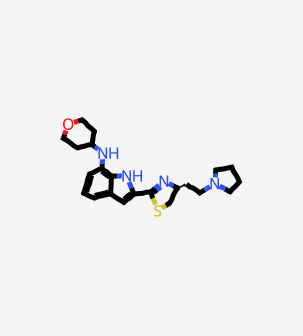 c1cc(NC2CCOCC2)c2[nH]c(C3=N[C@H](CCN4CCCC4)CS3)cc2c1